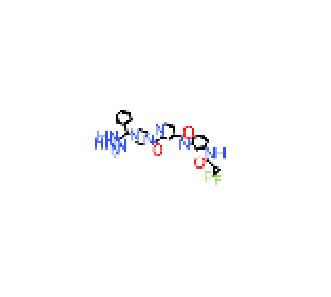 CN1N=C(C(c2ccccc2)N2CCN(C(=O)c3cc(-c4nc5cc(NC(=O)C6CC6(F)F)ccc5o4)ccn3)CC2)NN1